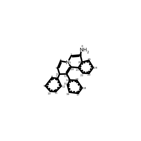 NC1=CN2C=CC(c3ccccc3)C(c3ccccc3)=C2c2ccccc21